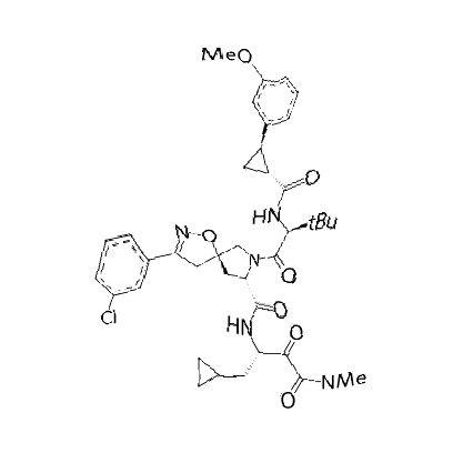 CNC(=O)C(=O)[C@H](CC1CC1)NC(=O)[C@@H]1C[C@]2(CC(c3cccc(Cl)c3)=NO2)CN1C(=O)[C@@H](NC(=O)[C@@H]1C[C@H]1c1cccc(OC)c1)C(C)(C)C